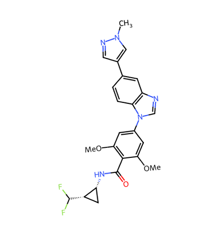 COc1cc(-n2cnc3cc(-c4cnn(C)c4)ccc32)cc(OC)c1C(=O)N[C@@H]1C[C@@H]1C(F)F